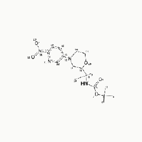 CC(C)(C)OC(=O)NC(C)(C)C1CN(c2ccc([N+](=O)[O-])nc2)CCO1